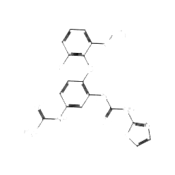 COc1cccc(F)c1Oc1ccc(NC(C)=O)cc1NC(=O)Nc1nccs1